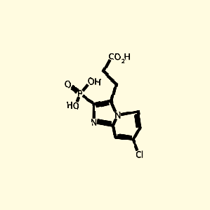 O=C(O)CCc1c(P(=O)(O)O)nc2cc(Cl)ccn12